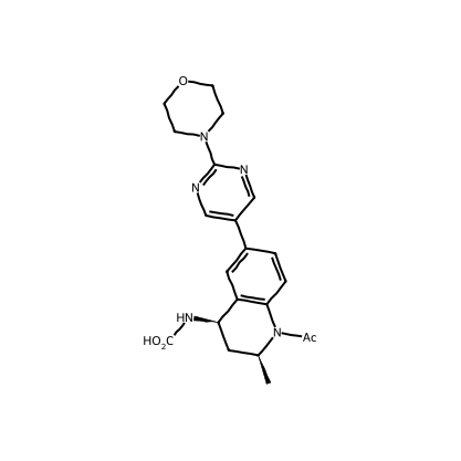 CC(=O)N1c2ccc(-c3cnc(N4CCOCC4)nc3)cc2[C@H](NC(=O)O)C[C@@H]1C